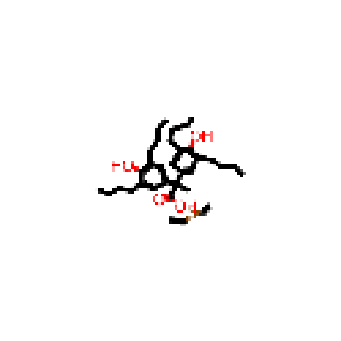 C=CSC=C.CCCCc1cc(C(C)(C(=O)O)c2cc(CCCC)c(O)c(CCCC)c2)cc(CCCC)c1O